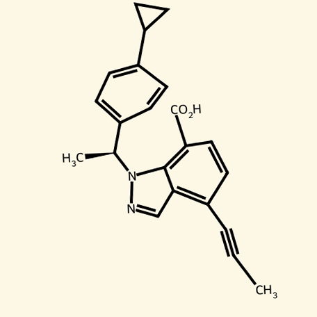 CC#Cc1ccc(C(=O)O)c2c1cnn2[C@@H](C)c1ccc(C2CC2)cc1